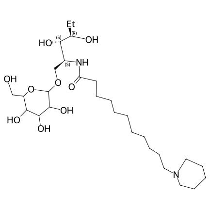 CC[C@@H](O)[C@@H](O)[C@H](COC1OC(CO)C(O)C(O)C1O)NC(=O)CCCCCCCCCCN1CCCCC1